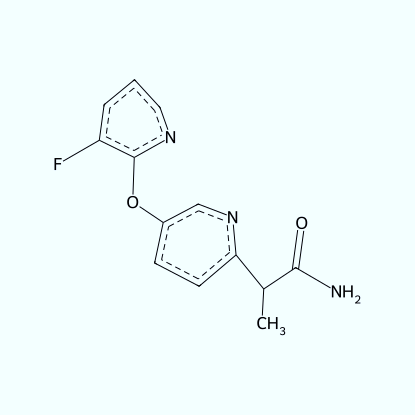 CC(C(N)=O)c1ccc(Oc2ncccc2F)cn1